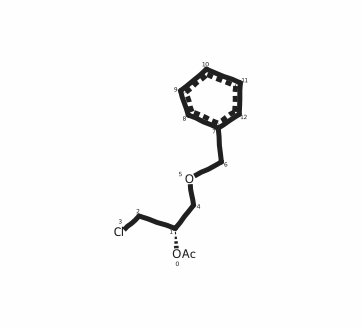 CC(=O)O[C@H](CCl)COCc1ccccc1